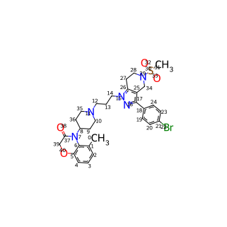 Cc1cccc2c1N(C1CCN(CCCn3nc(-c4ccc(Br)cc4)c4c3CCN(S(C)(=O)=O)C4)CC1)C(=O)CO2